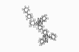 c1ccc(-c2ccc(-c3cccc(-n4c5ccc(-c6ccc7c(c6)n6c8ccccc8nc6n7-c6ccccc6)cc5n5c6ccccc6nc45)c3)cc2)cc1